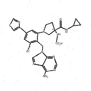 CCc1cc(-c2cscn2)cc(N2CC[C@](NC(=O)O)(C(=O)NC3CC3)C2)c1Cn1cnc2c(N)ncnc21